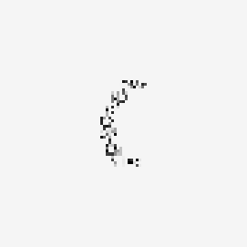 COc1ccc(COc2ccc3oc(-c4ccc(NC(C)=O)nc4)nc3c2)nc1